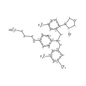 CC[C@H]1COCN1c1ccc(C(F)(F)F)cc1CN(Cc1cc(C(F)(F)F)cc(C(F)(F)F)c1)c1ncc(OCCCC(=O)O)cn1